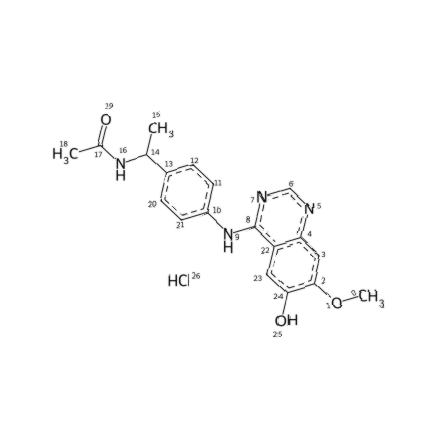 COc1cc2ncnc(Nc3ccc(C(C)NC(C)=O)cc3)c2cc1O.Cl